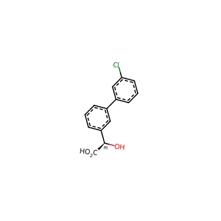 O=C(O)[C@H](O)c1cccc(-c2cccc(Cl)c2)c1